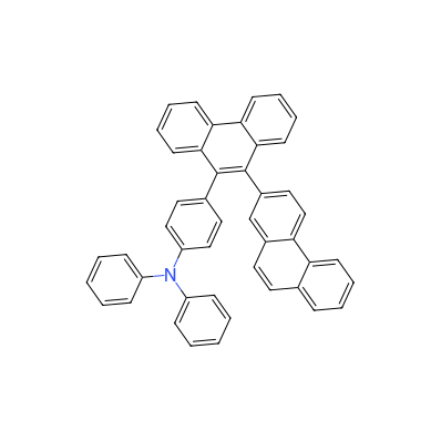 c1ccc(N(c2ccccc2)c2ccc(-c3c(-c4ccc5c(ccc6ccccc65)c4)c4ccccc4c4ccccc34)cc2)cc1